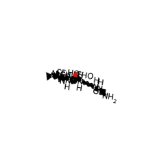 Cn1c(-c2cn(C3CC3)nc2C(F)(F)F)cnc1C(=O)Nc1ccc(C(=O)NCCCCCCNC(=O)NC2CC(N)C2)c(Cl)c1.O=CO